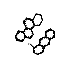 CCc1cccc2cc3ccccc3cc12.c1ccc2c(c1)ccc1c3c(ccc12)CCCC3